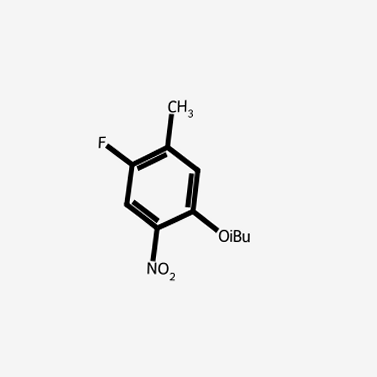 Cc1cc(OCC(C)C)c([N+](=O)[O-])cc1F